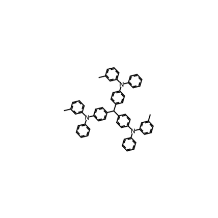 Cc1cccc(N(c2ccccc2)c2ccc(C(c3ccc(N(c4ccccc4)c4cccc(C)c4)cc3)c3ccc(N(c4ccccc4)c4cccc(C)c4)cc3)cc2)c1